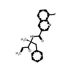 C=CC(Cl)[C@@](C)(Cc1ccccc1)NC(=O)c1cnc2c(F)cccc2c1